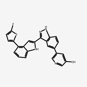 Oc1cncc(-c2ccc3[nH]nc(-c4cc5c(-c6ccc(F)s6)cccc5[nH]4)c3c2)c1